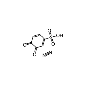 N#N.O=C1C=CC(S(=O)(=O)O)=CC1=O